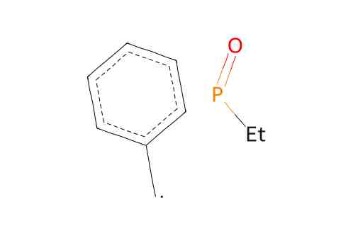 CCP=O.[CH2]c1ccccc1